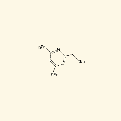 CCCc1cc(CCC)nc(CC(C)(C)C)c1